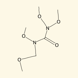 COCN(OC)C(=O)N(OC)OC